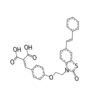 O=C(O)C(=Cc1ccc(OCCn2c(=O)sc3cc(C=Cc4ccccc4)ccc32)cc1)C(=O)O